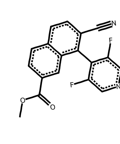 COC(=O)c1ccc2ccc(C#N)c(-c3c(F)cncc3F)c2c1